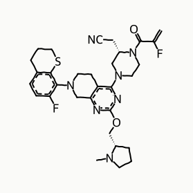 C=C(F)C(=O)N1CCN(c2nc(OC[C@@H]3CCCN3C)nc3c2CCN(c2c(F)ccc4c2SCCC4)C3)C[C@@H]1CC#N